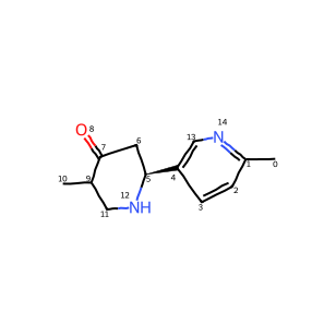 Cc1ccc([C@@H]2CC(=O)C(C)CN2)cn1